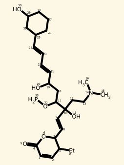 CCC1C=CC(=O)OC1C=CC(O)(CCN(C)C)C(CC(O)C=CC=CC1CCCC(O)C1)OP